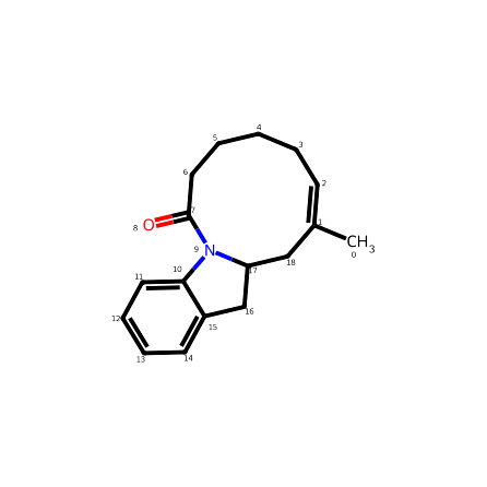 CC1=CCCCCC(=O)N2c3ccccc3CC2C1